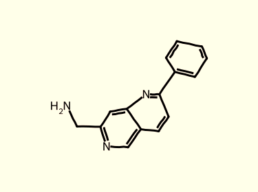 NCc1cc2nc(-c3ccccc3)ccc2cn1